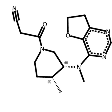 C[C@@H]1CCN(C(=O)CC#N)C[C@@H]1N(C)c1ncnc2c1OCC2